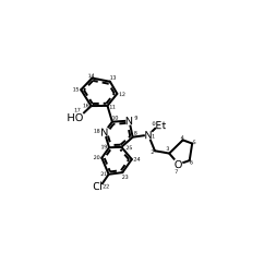 CCN(CC1CCCO1)c1nc(-c2ccccc2O)nc2cc(Cl)ccc12